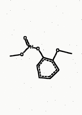 COc1ccccc1O[PH](=O)OC